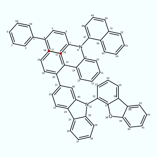 c1ccc(-c2ccc(N(c3ccccc3-c3ccccc3-c3ccc4c5ccccc5n(-c5cccc6c5oc5ccccc56)c4c3)c3cccc4ccccc34)cc2)cc1